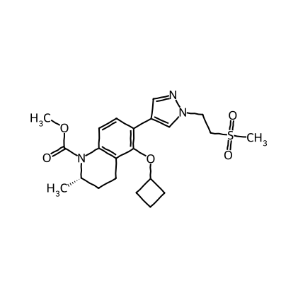 COC(=O)N1c2ccc(-c3cnn(CCS(C)(=O)=O)c3)c(OC3CCC3)c2CC[C@@H]1C